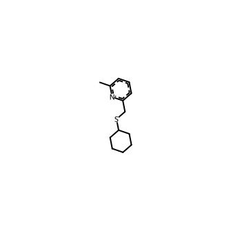 Cc1cccc(CSC2CCCCC2)n1